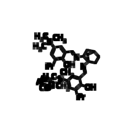 CC(=O)[O-].CC(=O)[O-].CC(C)c1cc([Si](C)(C)C)cc(C=NC2CC3CCC2(N=Cc2cc([Si](C)(C)C)cc(C(C)C)c2O)C3)c1O.[Co+2]